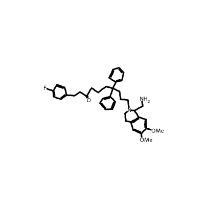 COc1cc2c(cc1OC)C(CN)N(CCCC(CCCC(=O)CCc1ccc(F)cc1)(c1ccccc1)c1ccccc1)CC2